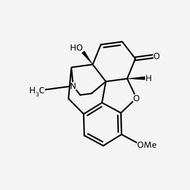 COc1ccc2c3c1O[C@H]1C(=O)C=C[C@@]4(O)C(C2)N(C)CCC314